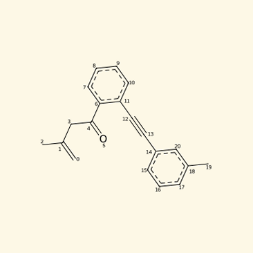 C=C(C)CC(=O)c1ccccc1C#Cc1cccc(C)c1